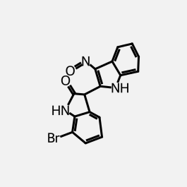 O=Nc1c(C2C(=O)Nc3c(Br)cccc32)[nH]c2ccccc12